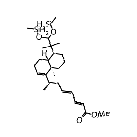 COC(=O)/C=C/C=C/C[C@@H](C)C1=CCC[C@@H]2[C@@H](C(C)(C)C(O[SiH2]C)O[SiH2]C)CCC[C@@]12C